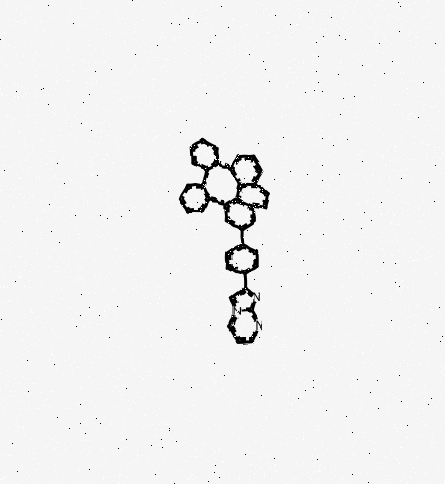 c1ccc2c(c1)c1ccccc1c1cc(-c3ccc(-c4cn5cccnc5n4)cc3)cc3ccc4cccc2c4c31